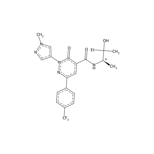 CCC(C)(O)[C@@H](C)NC(=O)c1cc(-c2ccc(C(F)(F)F)cc2)nn(-c2cnn(C)c2)c1=O